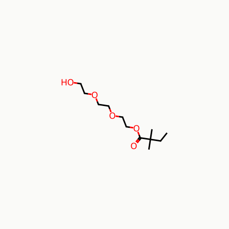 CCC(C)(C)C(=O)OCCOCCOCCO